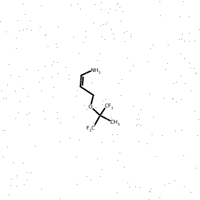 CC(OC/C=C\N)(C(F)(F)F)C(F)(F)F